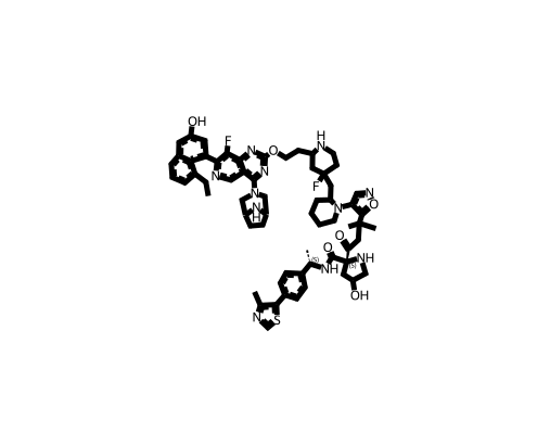 CCc1cccc2cc(O)cc(-c3ncc4c(N5CC6CCC(C5)N6)nc(OCCC5CC(F)(CC6CCCCN6c6cnoc6C(C)(C)CC(=O)[C@]6(C(=O)N[C@@H](C)c7ccc(-c8scnc8C)cc7)CC(O)CN6)CCN5)nc4c3F)c12